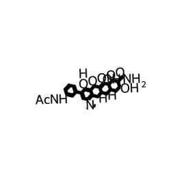 CC(=O)Nc1cccc(-c2cc(N(C)C)c3c(c2O)C(=O)C2=C(O)[C@]4(O)C(=O)C(C(N)=O)C(O)C[C@@H]4C[C@@H]2C3)c1